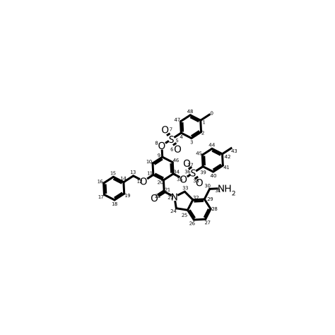 Cc1ccc(S(=O)(=O)Oc2cc(OCc3ccccc3)c(C(=O)N3Cc4cccc(CN)c4C3)c(OS(=O)(=O)c3ccc(C)cc3)c2)cc1